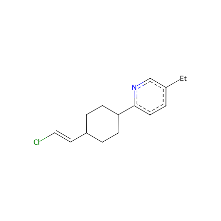 CCc1ccc(C2CCC(/C=C/Cl)CC2)nc1